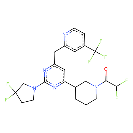 O=C(C(F)F)N1CCCC(c2cc(Cc3cc(C(F)(F)F)ccn3)nc(N3CCC(F)(F)C3)n2)C1